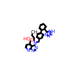 CCCCN(Cc1ccc(-c2ccccc2-c2nnn[nH]2)cc1)c1ncnc2nccc(C(=O)O)c12